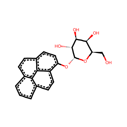 OC[C@H]1O[C@H](Oc2ccc3ccc4cccc5ccc2c3c45)[C@H](O)[C@@H](O)[C@H]1O